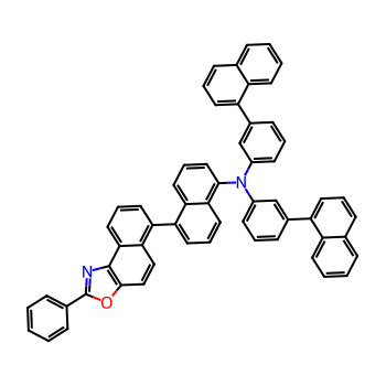 c1ccc(-c2nc3c(ccc4c(-c5cccc6c(N(c7cccc(-c8cccc9ccccc89)c7)c7cccc(-c8cccc9ccccc89)c7)cccc56)cccc43)o2)cc1